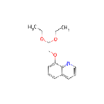 CCOC(COc1cccc2cccnc12)OCC